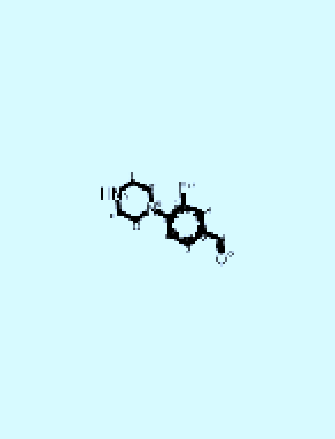 O=Cc1ccc(N2CCNCC2)c(F)c1